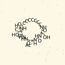 CC(=O)C[C@H]1NC(=O)N[C@H](CO)C(=O)NCCCCCCCC(=O)N[C@H](C(C)O)C(=O)NNC1=O